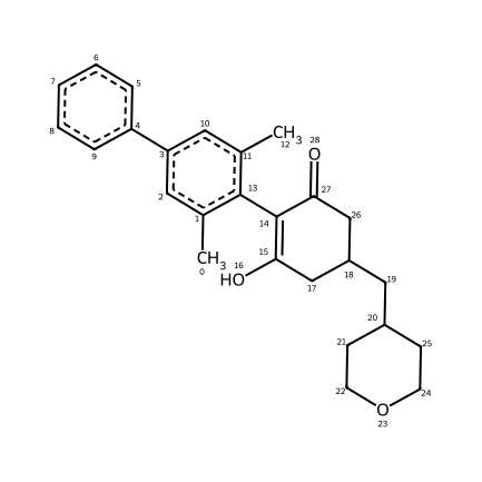 Cc1cc(-c2ccccc2)cc(C)c1C1=C(O)CC(CC2CCOCC2)CC1=O